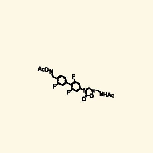 CC(=O)NC[C@H]1CN(c2cc(F)c(-c3ccc(C=NOC(C)=O)c(F)c3)c(F)c2)C(=O)O1